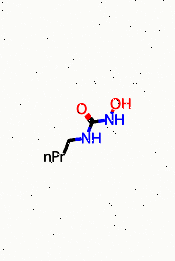 CCCCNC(=O)NO